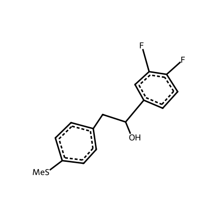 CSc1ccc(CC(O)c2ccc(F)c(F)c2)cc1